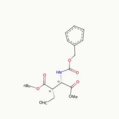 CCCCOC(=O)[C@@H](CC=O)[C@H](NC(=O)OCc1ccccc1)C(=O)OC